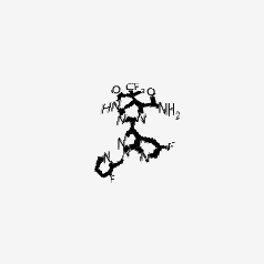 CC1(C(F)(F)F)C(=O)Nc2nc(-c3nn(Cc4ncccc4F)c4ncc(F)cc34)nc(C(N)=O)c21